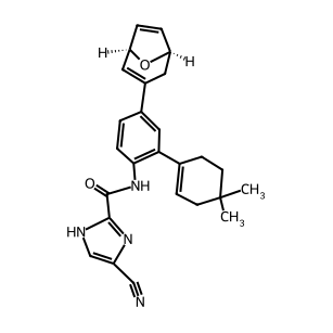 CC1(C)CC=C(c2cc(C3=C[C@H]4C=C[C@@H](C3)O4)ccc2NC(=O)c2nc(C#N)c[nH]2)CC1